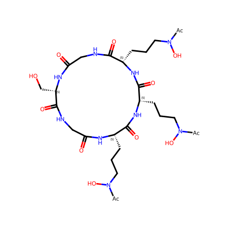 CC(=O)N(O)CCC[C@@H]1NC(=O)CNC(=O)[C@H](CO)NC(=O)CNC(=O)[C@H](CCCN(O)C(C)=O)NC(=O)[C@H](CCCN(O)C(C)=O)NC1=O